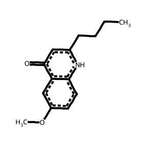 CCCCc1cc(=O)c2cc(OC)ccc2[nH]1